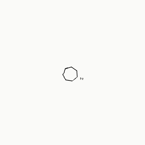 C1CCCCCC1.[Fe]